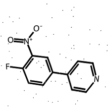 O=[N+]([O-])c1cc(-c2ccncc2)ccc1F